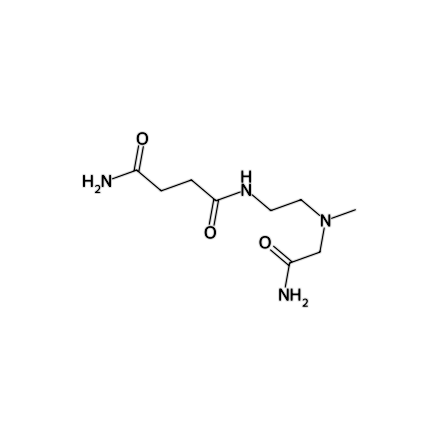 CN(CCNC(=O)CCC(N)=O)CC(N)=O